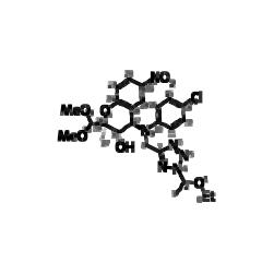 CCOC(C)n1nnc(CN(c2ccc(Cl)cc2)[C@@H]2c3cc([N+](=O)[O-])ccc3O[C@](C)(C(OC)OC)[C@H]2O)n1